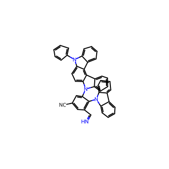 N#Cc1cc(C=N)c(-n2c3ccccc3c3ccccc32)c(-n2c3ccccc3c3c4c5ccccc5n(-c5ccccc5)c4ccc32)c1